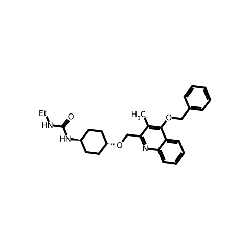 CCNC(=O)N[C@H]1CC[C@H](OCc2nc3ccccc3c(OCc3ccccc3)c2C)CC1